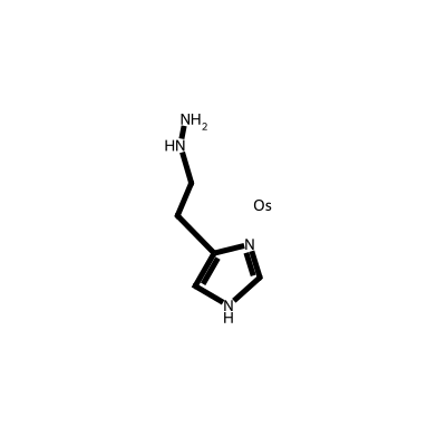 NNCCc1c[nH]cn1.[Os]